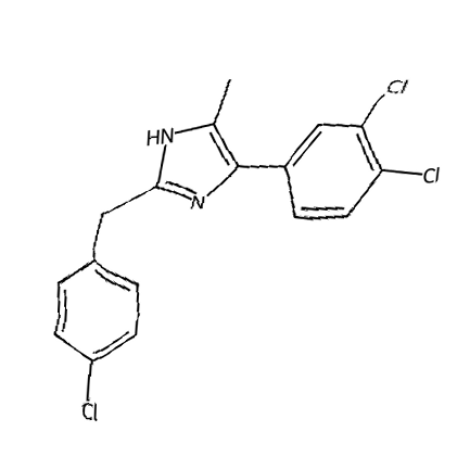 Cc1[nH]c(Cc2ccc(Cl)cc2)nc1-c1ccc(Cl)c(Cl)c1